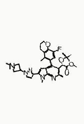 COC(=O)[C@@H](OC(C)(C)C)c1c(C)nc2c(cc(-c3ccn(C4CN(C)C4)n3)n2C)c1-c1cc(F)c2c(c1C)CCCO2